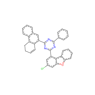 Clc1cc(-c2nc(-c3ccccc3)nc(-c3cc4ccccc4c4c3C=CCC4)n2)c2c(c1)oc1ccccc12